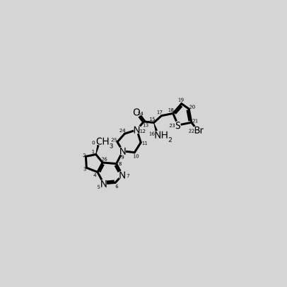 C[C@@H]1CCc2ncnc(N3CCN(C(=O)[C@H](N)Cc4ccc(Br)s4)CC3)c21